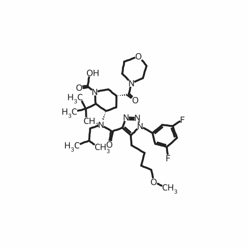 COCCCCc1c(C(=O)N(CC(C)C)[C@H]2C[C@@H](C(=O)N3CCOCC3)CN(C(=O)O)C2C(C)(C)C)nnn1-c1cc(F)cc(F)c1